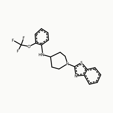 FC(F)(F)Oc1ccccc1NC1CCN(c2nc3ccccc3s2)CC1